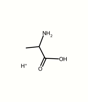 CC(N)C(=O)O.[H+]